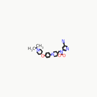 CC(C)N1CCC(Oc2ccc(N3CCC4(CC3)CN(c3cncc(C#N)c3)C(=O)O4)cc2)CC1